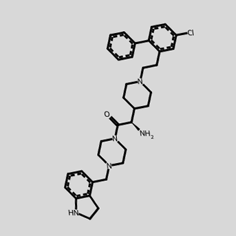 N[C@@H](C(=O)N1CCN(Cc2cccc3c2CCN3)CC1)C1CCN(CCc2cc(Cl)ccc2-c2ccccc2)CC1